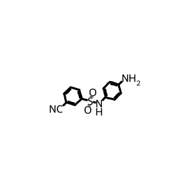 N#Cc1cccc(S(=O)(=O)Nc2ccc(N)cc2)c1